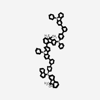 CC1(C)c2ccccc2-c2ccc(N(c3ccc(-c4cccc(-c5ccc6c(c5)c5ccc(-c7cccc8c7-c7ccc(N(c9ccccc9)c9ccc(-c%10cccc(-c%11ccc%12c(c%11)c%11ccccc%11n%12-c%11ccccc%11)c%10)cc9)cc7C8(C)C)cc5n6-c5ccccc5)c4)cc3)c3cccc4ccccc34)cc21